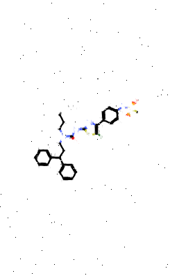 CSCCCN(CCC(c1ccccc1)c1ccccc1)C(=O)Nc1nc(-c2ccc(NS(C)(=O)=O)cc2)c(Cl)s1